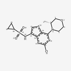 C[C@@H]1COCCN1c1nc(Cl)nc2c(NS(=O)(=O)C3CC3)csc12